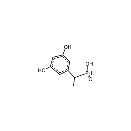 CC(c1cc(O)cc(O)c1)[PH](=O)O